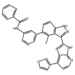 O=C(Nc1cncc(-c2ccc3[nH]nc(-c4nc5c(-c6ccoc6)ccnc5[nH]4)c3c2F)c1)c1ccccc1